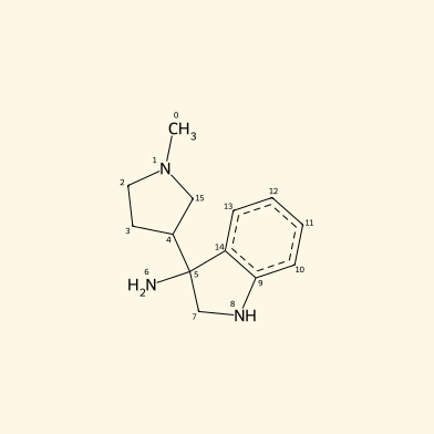 CN1CCC(C2(N)CNc3ccccc32)C1